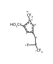 O=C(O)c1cc(CC(F)C(F)(F)F)nn1C(F)(F)F